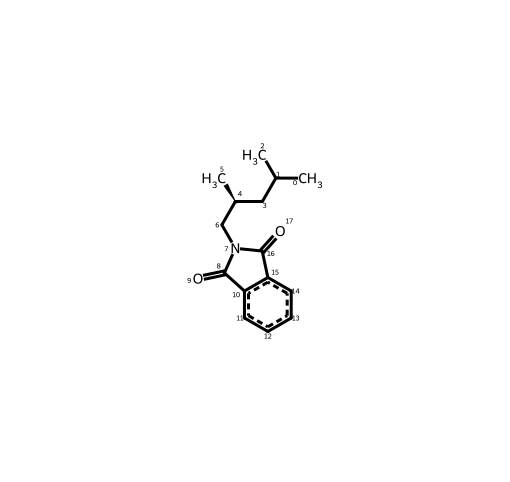 CC(C)C[C@H](C)CN1C(=O)c2ccccc2C1=O